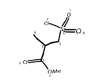 COC(=O)C(C)CS(=O)(=O)Cl